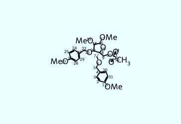 COc1ccc(COC[C@@]2(COS(C)(=O)=O)O[C@H](OC)[C@H](OC)[C@@H]2OCc2ccc(OC)cc2)cc1